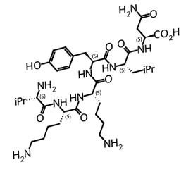 CC(C)C[C@H](NC(=O)[C@H](Cc1ccc(O)cc1)NC(=O)[C@H](CCCCN)NC(=O)[C@H](CCCCN)NC(=O)[C@@H](N)C(C)C)C(=O)N[C@@H](CC(N)=O)C(=O)O